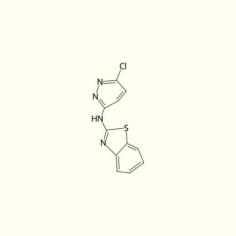 Clc1ccc(Nc2nc3ccccc3s2)nn1